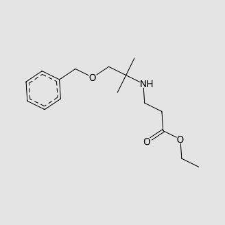 CCOC(=O)CCNC(C)(C)COCc1ccccc1